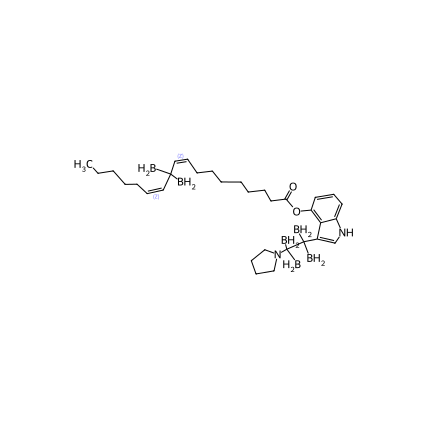 BC(B)(/C=C\CCCCC)/C=C\CCCCCCCC(=O)Oc1cccc2[nH]cc(C(B)(B)C(B)(B)N3CCCC3)c12